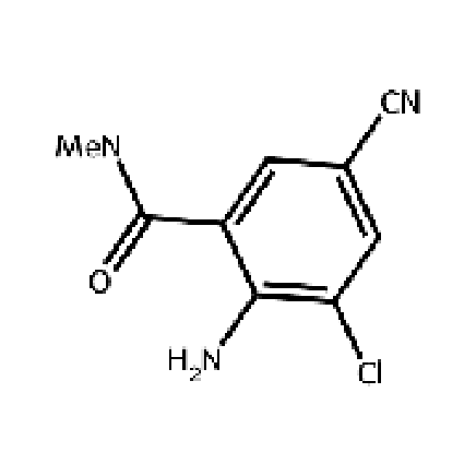 CNC(=O)c1cc(C#N)cc(Cl)c1N